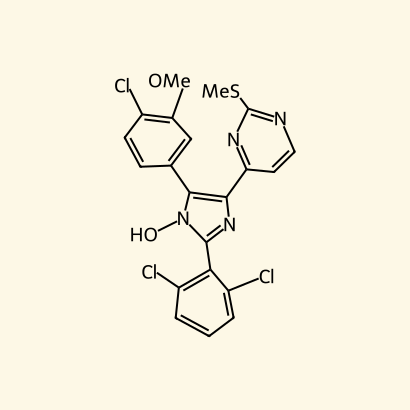 COc1cc(-c2c(-c3ccnc(SC)n3)nc(-c3c(Cl)cccc3Cl)n2O)ccc1Cl